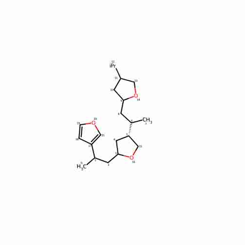 CC(CC1C[C@H](C(C)CC2CC(C(C)C)CO2)CO1)c1ccoc1